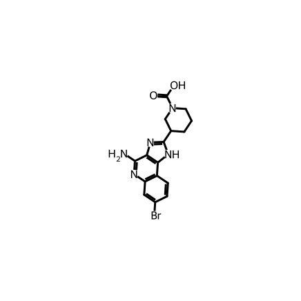 Nc1nc2cc(Br)ccc2c2[nH]c(C3CCCN(C(=O)O)C3)nc12